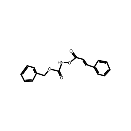 O=C(C=Cc1ccccc1)ONC(=O)OCc1ccccc1